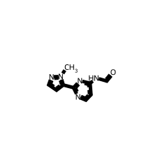 Cn1nccc1-c1nccc(NC=O)n1